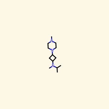 CC(C)N(C)C1CC(N2CCN(C)CC2)C1